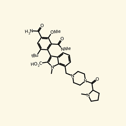 CNC(=O)c1c(OC)c(C(N)=O)cc(C(C)(C)C)c1-c1c(C(=O)O)n(C)c2c(CN3CCN(C(=O)C4CCCN4C)CC3)cccc12